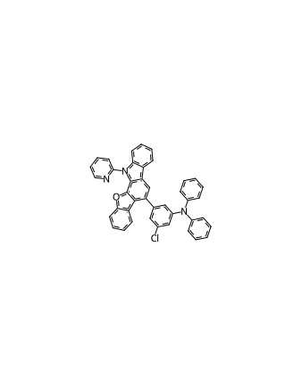 Clc1cc(-c2cc3c4ccccc4n(-c4ccccn4)c3c3oc4ccccc4c23)cc(N(c2ccccc2)c2ccccc2)c1